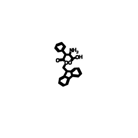 NC(C(=O)O)C(C(=O)OCC1c2ccccc2-c2ccccc21)c1ccccc1